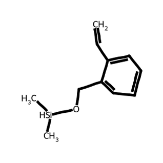 C=Cc1ccccc1CO[SiH](C)C